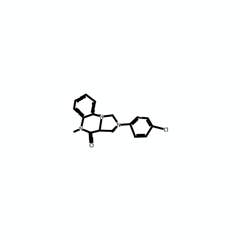 CN1C(=O)C2CN(c3ccc(Cl)cc3)CN2c2ccccc21